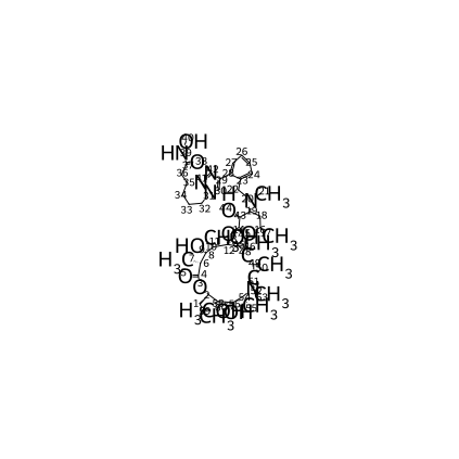 CC[C@H]1OC(=O)[C@H](C)[C@@H](O)[C@H](C)[C@@H](O[C@@H]2O[C@H](C)C[C@H](N(C)Cc3ccccc3-c3cn(CCCCCC(=O)NO)nn3)[C@@H]2O)[C@](C)(O)C[C@@H](C)CN(C)[C@H](C)[C@@H](O)[C@]1(C)O